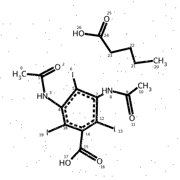 CC(=O)Nc1c(I)c(NC(C)=O)c(I)c(C(=O)O)c1I.CCCCC(=O)O